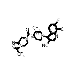 C[C@@H]1CN(c2c(C#N)cnc3c(Cl)c(F)ccc23)CC[C@@H]1C(=O)N1CCn2c(nnc2C(F)(F)F)C1